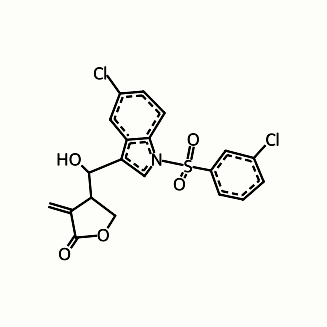 C=C1C(=O)OCC1C(O)c1cn(S(=O)(=O)c2cccc(Cl)c2)c2ccc(Cl)cc12